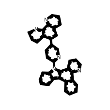 c1cnc2c(c1)cc(-c1ccc(-n3c4ccccc4c4c5ccccc5c5ncccc5c43)nc1)c1cccnc12